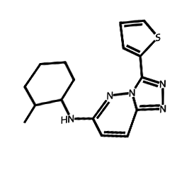 CC1CCCCC1Nc1ccc2nnc(-c3cccs3)n2n1